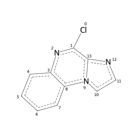 Clc1nc2ccccc2n2ccnc12